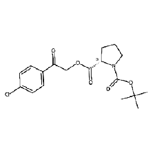 CC(C)(C)OC(=O)N1CCC[C@H]1C(=O)OCC(=O)c1ccc(Cl)cc1